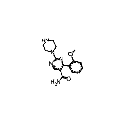 COc1ccccc1-c1nc(N2CCNCC2)ncc1C(N)=O